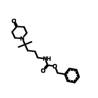 CC(C)(CCCNC(=O)OCc1ccccc1)N1CCC(=O)CC1